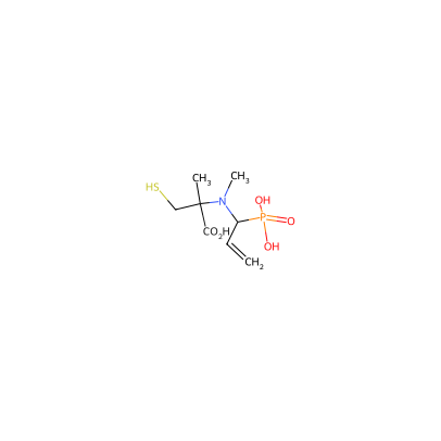 C=CC(N(C)C(C)(CS)C(=O)O)P(=O)(O)O